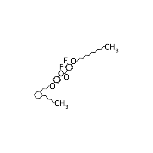 CCCCCCCCCCCOc1ccc(C(=O)Oc2ccc(OCCCC3CCCCC3CCCCC)cc2)c(F)c1F